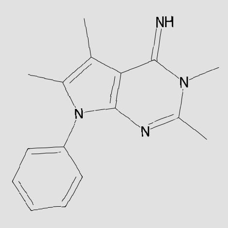 Cc1c(C)n(-c2ccccc2)c2nc(C)n(C)c(=N)c12